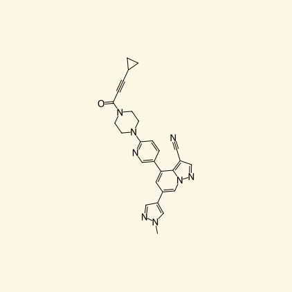 Cn1cc(-c2cc(-c3ccc(N4CCN(C(=O)C#CC5CC5)CC4)nc3)c3c(C#N)cnn3c2)cn1